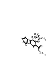 CCC(=O)c1ccccc1O[Si](C)(C)C.c1cc2cc-2c1